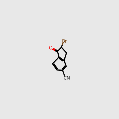 N#Cc1ccc2c(c1)CC(Br)C2=O